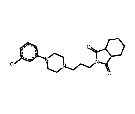 O=C1C2CCCCC2C(=O)N1CCCN1CCN(c2cccc(Cl)c2)CC1